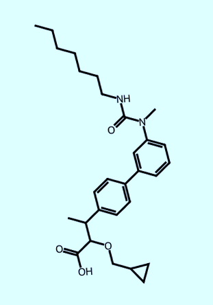 CCCCCCCNC(=O)N(C)c1cccc(-c2ccc(C(C)C(OCC3CC3)C(=O)O)cc2)c1